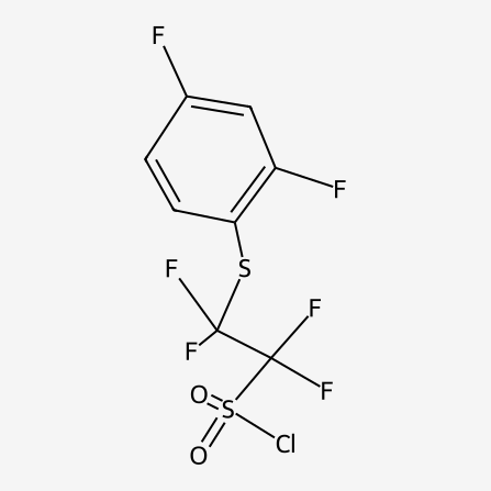 O=S(=O)(Cl)C(F)(F)C(F)(F)Sc1ccc(F)cc1F